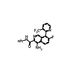 CCCNC(=O)c1ncc2c(-c3ncccc3C(F)(F)F)c(F)ccc2c1N